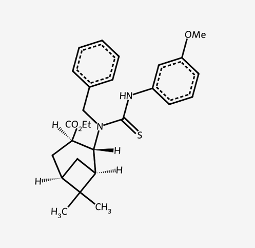 CCOC(=O)[C@@H]1C[C@H]2C[C@@H]([C@H]1N(Cc1ccccc1)C(=S)Nc1cccc(OC)c1)C2(C)C